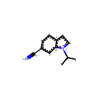 CC(C)n1ccc2ccc(C#N)cc21